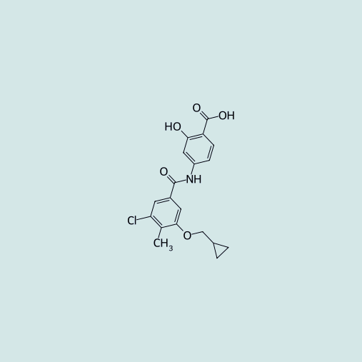 Cc1c(Cl)cc(C(=O)Nc2ccc(C(=O)O)c(O)c2)cc1OCC1CC1